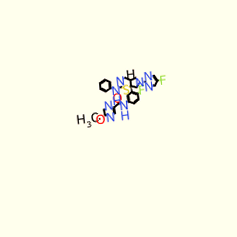 COc1cnc(C(=O)Nc2ccc(F)c([C@]34CN(c5ncc(F)cn5)C[C@@H]3CN=C(Nc3ccccc3)S4)c2)cn1